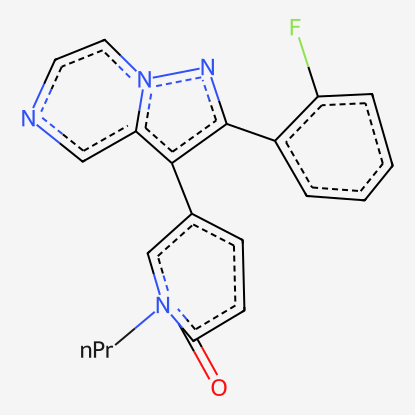 CCCn1cc(-c2c(-c3ccccc3F)nn3ccncc23)ccc1=O